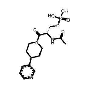 CC(=O)N[C@@H](COP(=O)(O)O)C(=O)N1CCC(c2cccnc2)CC1